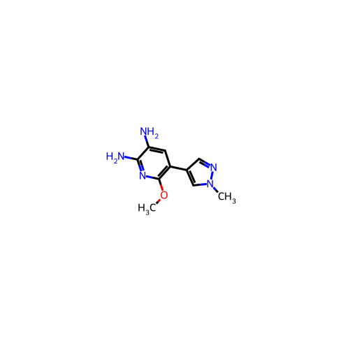 COc1nc(N)c(N)cc1-c1cnn(C)c1